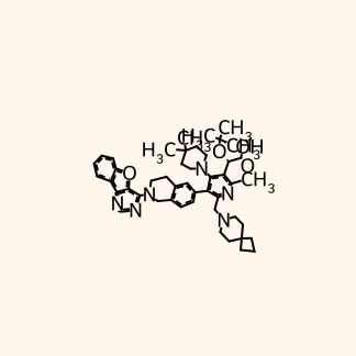 Cc1nc(CN2CCC3(CCC3)CC2)c(-c2ccc3c(c2)CCN(c2ncnc4c2oc2ccccc24)C3)c(N2CCC(C)(C)CC2)c1[C@H](OC(C)(C)C)C(=O)O